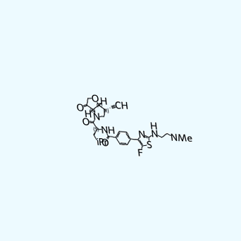 C#C[C@@H]1CN(C(=O)[C@H](CC(C)C)NC(=O)c2ccc(-c3nc(NCCNC)sc3F)cc2)[C@@H]2C(=O)CO[C@H]12